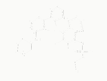 Cc1c(F)c(NS(=O)(=O)CCC(F)(F)F)c2ccccc2c1Oc1ncccc1-c1ccnc(NC2CCCNC2)n1